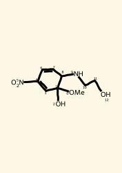 COC1(O)C=C([N+](=O)[O-])C=CC1NCCO